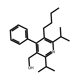 CCCCc1c(C(C)C)nc(C(C)C)c(CO)c1-c1ccccc1